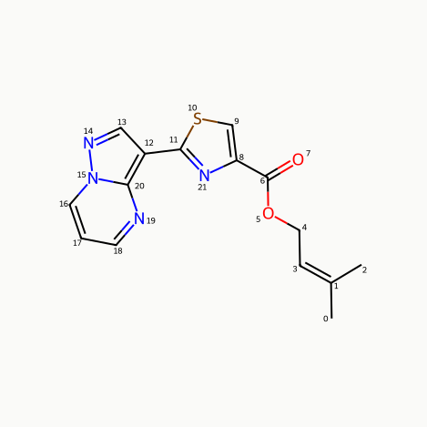 CC(C)=CCOC(=O)c1csc(-c2cnn3cccnc23)n1